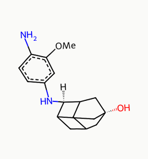 COc1cc(N[C@H]2C3CC4CC2C[C@](O)(C4)C3)ccc1N